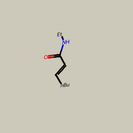 CCCCC=CC(=O)NCC